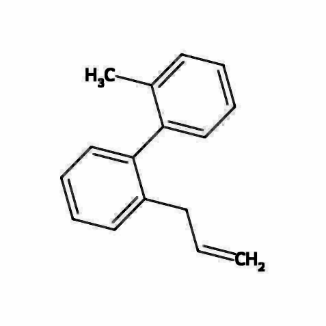 C=CCc1ccccc1-c1ccccc1C